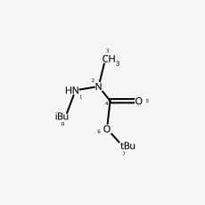 CCC(C)NN(C)C(=O)OC(C)(C)C